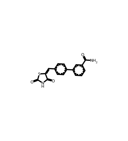 NC(=O)c1cccc(-c2ccc(/C=C3/SC(=O)NC3=O)cc2)c1